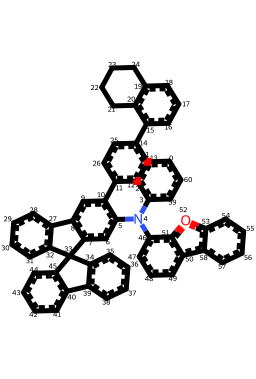 c1ccc(N(c2cc3c(cc2-c2ccc(-c4cccc5c4CCCC5)cc2)-c2ccccc2C32c3ccccc3-c3ccccc32)c2cccc3c2oc2ccccc23)cc1